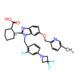 Cc1ccc(COc2ccc3nc([C@H]4CCCCC4C(=O)O)n(Cc4ccc(N5CC(F)(F)C5)cc4F)c3c2)nc1